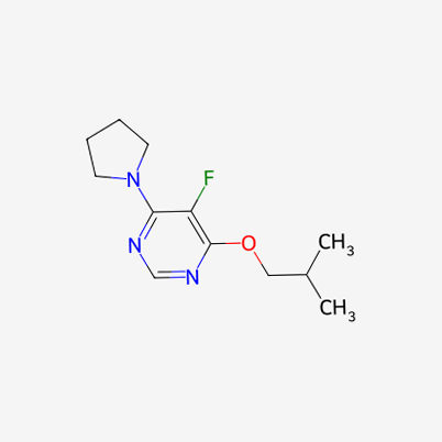 CC(C)COc1ncnc(N2CCCC2)c1F